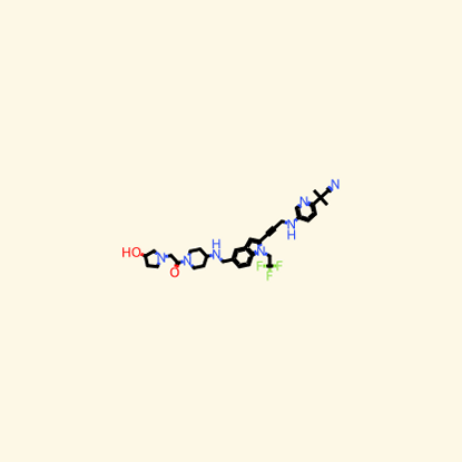 CC(C)(C#N)c1ccc(NCC#Cc2cc3cc(CNC4CCN(C(=O)CN5CCC(O)C5)CC4)ccc3n2CC(F)(F)F)cn1